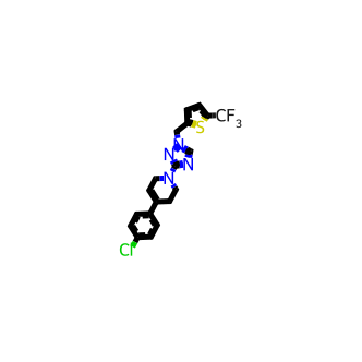 FC(F)(F)c1ccc(Cn2cnc(N3CC=C(c4ccc(Cl)cc4)CC3)n2)s1